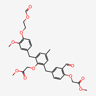 COC(=O)COc1ccc(Cc2cc(C)cc(Cc3ccc(OCCOC=O)c(OC)c3)c2OCC(=O)OC)cc1C=O